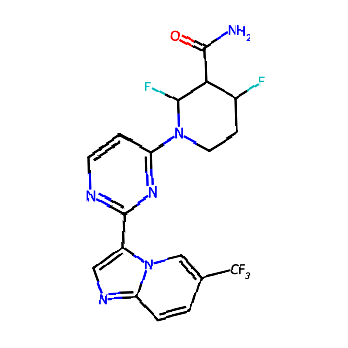 NC(=O)C1C(F)CCN(c2ccnc(-c3cnc4ccc(C(F)(F)F)cn34)n2)C1F